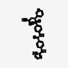 O=C(O)CC(c1cccnc1)S(=O)(=O)c1ccc(NC(=O)c2ccc(Nc3ncc[nH]3)cc2)cc1